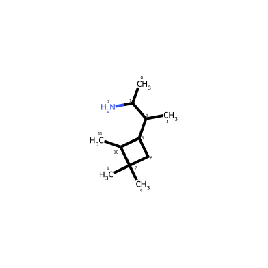 CC(N)C(C)C1CC(C)(C)C1C